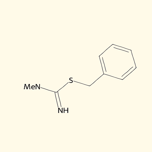 CNC(=N)SCc1ccccc1